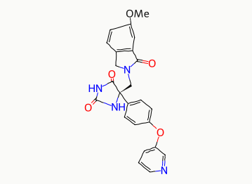 COc1ccc2c(c1)C(=O)N(C[C@@]1(c3ccc(Oc4cccnc4)cc3)NC(=O)NC1=O)C2